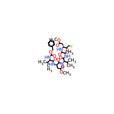 COC(=O)CC(NC(=O)C(NC(=O)OCc1ccccc1)C(C)C)C(=O)NC(C(=O)NC(C)C(=O)N[C@@H](CC(=O)OC)C(=O)CF)C(C)C